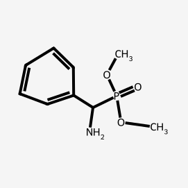 COP(=O)(OC)C(N)c1ccccc1